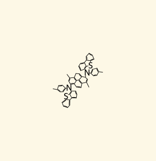 CC1=CC(N(c2ccc(C)cc2)c2cccc3c2sc2ccccc23)C2=CCc3c(C)cc(N(c4ccc(C)cc4)c4cccc5c4sc4ccccc45)c4ccc1c2c34